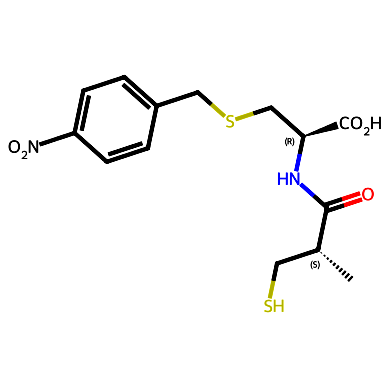 C[C@H](CS)C(=O)N[C@@H](CSCc1ccc([N+](=O)[O-])cc1)C(=O)O